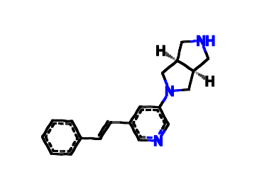 C(=C\c1cncc(N2C[C@H]3CNC[C@H]3C2)c1)/c1ccccc1